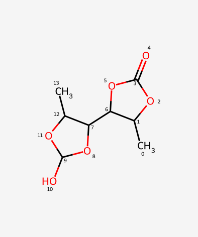 CC1OC(=O)OC1C1OC(O)OC1C